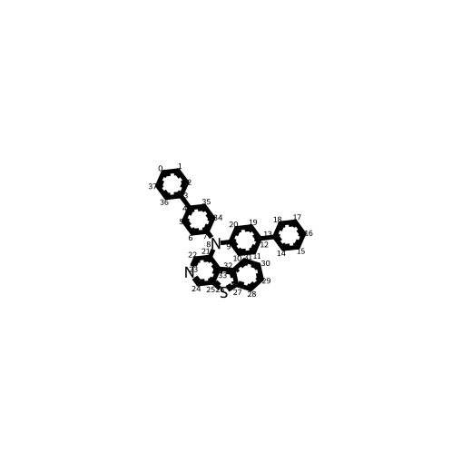 c1ccc(-c2ccc(N(c3ccc(-c4ccccc4)cc3)c3cncc4sc5ccccc5c34)cc2)cc1